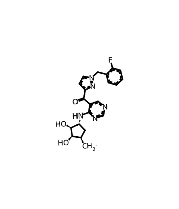 [CH2][C@@H]1C[C@@H](Nc2ncncc2C(=O)c2ccn(Cc3ccccc3F)n2)[C@H](O)[C@@H]1O